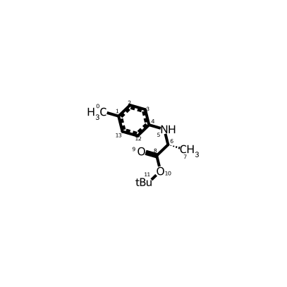 Cc1ccc(N[C@H](C)C(=O)OC(C)(C)C)cc1